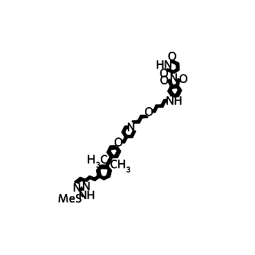 CSNc1nccc(CCC2=CC=C(C(C)(C)c3ccc(OCC4CCN(CCCCOCCCCNc5ccc6c(c5)C(=O)N(C5CCC(=O)NC5=O)C6=O)CC4)cc3)C=CC2)n1